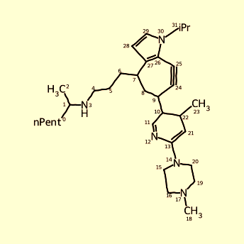 CCCCCC(C)NCCCC1CC(C2C=NC(N3CCN(C)CC3)=CC2C)C#Cc2c1ccn2C(C)C